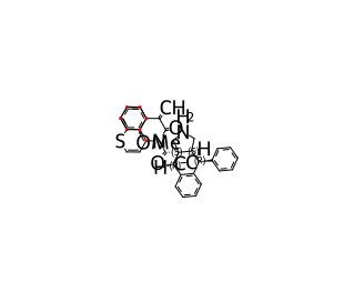 C=C(C(=O)N(C(=O)[C@]12CNC[C@H]1[C@@]1(c3ccccc3)CC[C@@H]2c2ccccc21)C1=C2CC=CC=C2SC=C1)c1ccccc1OC